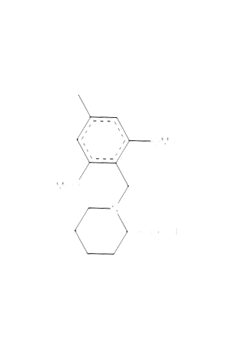 COc1cc(C)cc(OC)c1CN1CCCC[C@H]1C(=O)O